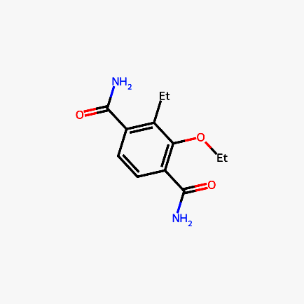 CCOc1c(C(N)=O)ccc(C(N)=O)c1CC